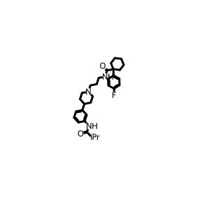 CC(C)C(=O)Nc1cccc(C2CCN(CCCNC(=O)C3(c4ccc(F)cc4)CCCCC3)CC2)c1